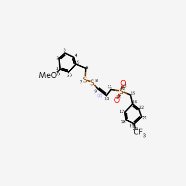 COc1cccc(CSS/C=C\CS(=O)(=O)Cc2ccc(C(F)(F)F)cc2)c1